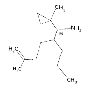 C=C(C)CCC(CCC)[C@@H](N)C1(C)CC1